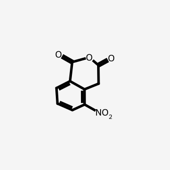 O=C1Cc2c(cccc2[N+](=O)[O-])C(=O)O1